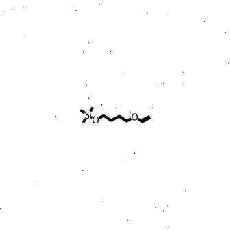 C=COCCCCO[Si](C)(C)C